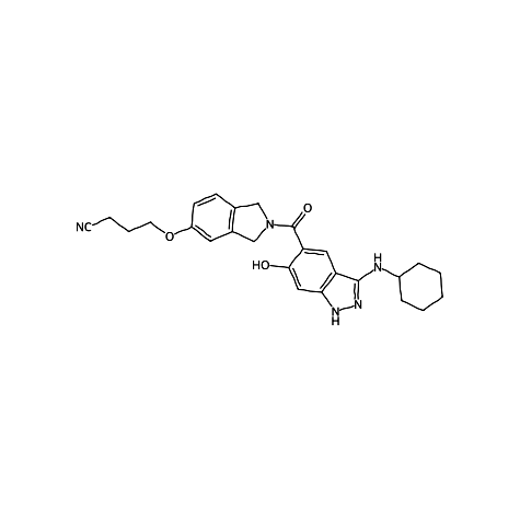 N#CCCCOc1ccc2c(c1)CN(C(=O)c1cc3c(NC4CCCCC4)n[nH]c3cc1O)C2